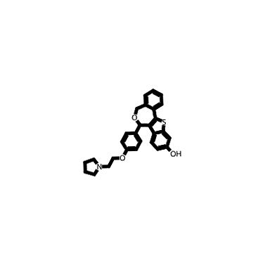 Oc1ccc2c3c(sc2c1)-c1ccccc1COC3c1ccc(OCCN2CCCC2)cc1